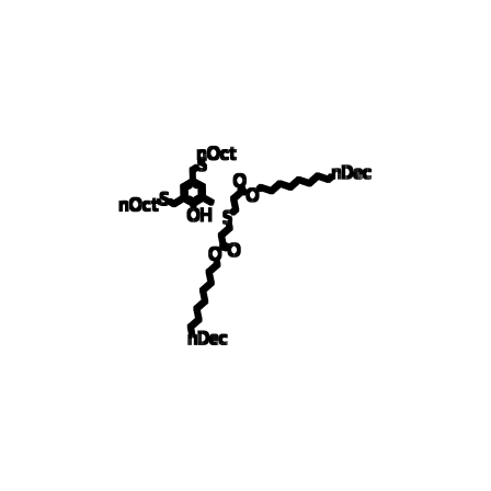 CCCCCCCCCCCCCCCCCCOC(=O)CCSCCC(=O)OCCCCCCCCCCCCCCCCCC.CCCCCCCCSCc1cc(C)c(O)c(CSCCCCCCCC)c1